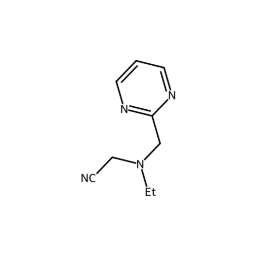 CCN(CC#N)Cc1ncccn1